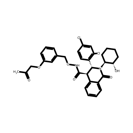 CC(=O)COc1cccc(CONC(=O)[C@@H]2c3ccccc3C(=O)N([C@H]3CCCC[C@@H]3O)[C@H]2c2ccc(Cl)cc2Cl)c1